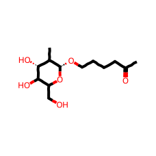 CC(=O)CCCCO[C@@H]1OC(CO)C(O)[C@H](O)C1C